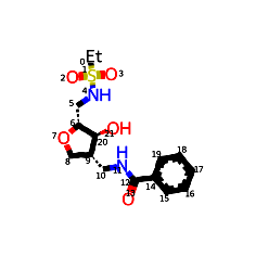 CCS(=O)(=O)NC[C@H]1OC[C@@H](CNC(=O)c2ccccc2)[C@@H]1O